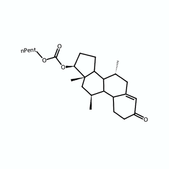 CCCCCOC(=O)O[C@H]1CCC2C3C(C4CCC(=O)C=C4C[C@H]3C)[C@@H](C)C[C@@]21C